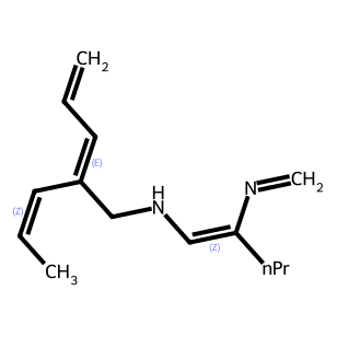 C=C/C=C(\C=C/C)CN/C=C(/CCC)N=C